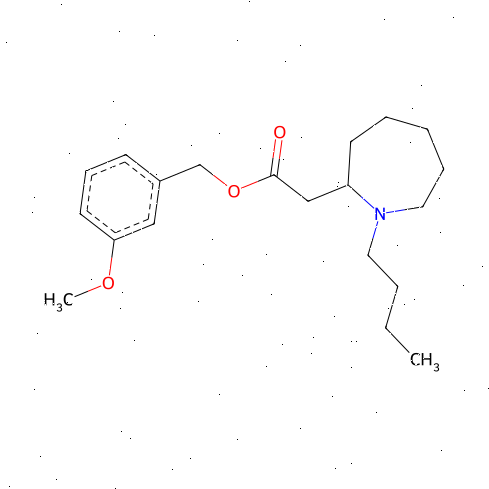 CCCCN1CCCCCC1CC(=O)OCc1cccc(OC)c1